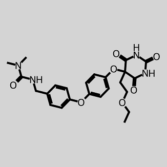 CCOCCC1(Oc2ccc(Oc3ccc(CNC(=O)N(C)C)cc3)cc2)C(=O)NC(=O)NC1=O